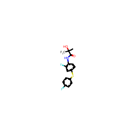 CC(O)(C(=O)Nc1ccc(Sc2ccc(F)cc2)cc1F)C(F)(F)F